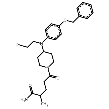 CC(C)CCN(c1ccc(OCc2ccccc2)cc1)C1CCN(C(=O)CCC(C)C(N)=O)CC1